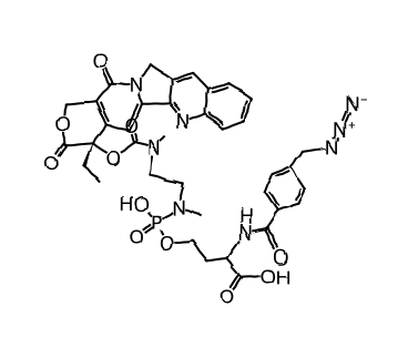 CC[C@@]1(OC(=O)N(C)CCN(C)P(=O)(O)OCCC(NC(=O)c2ccc(CN=[N+]=[N-])cc2)C(=O)O)C(=O)OCc2c1cc1n(c2=O)Cc2cc3ccccc3nc2-1